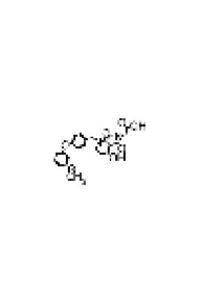 COc1cccc(Oc2ccc(CN3CCC(O)=C(C(=O)NCC(=O)O)C3=O)cc2)c1